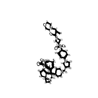 C=C(CN1CCOCC1)C(=O)N1CC(S(=O)(=O)c2ccc(N3CC[C@@H](CN4CCC([C@@](CN5CCC5)(c5cccc(F)c5)[C@H]5CCC[C@@H]5NC(=O)O)CC4)C3)cc2)C1